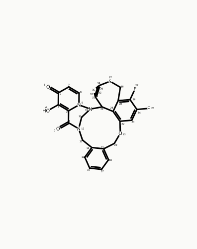 O=C1c2c(O)c(=O)ccn2N2CN1Cc1ccccc1COc1cc(F)c(F)c3c1C2c1ccccc1SC3